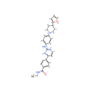 N#CCNC(=O)c1ccc(-c2ccnc(Nc3ccc(N4CCC(c5ccco5)CC4)cc3)n2)cc1